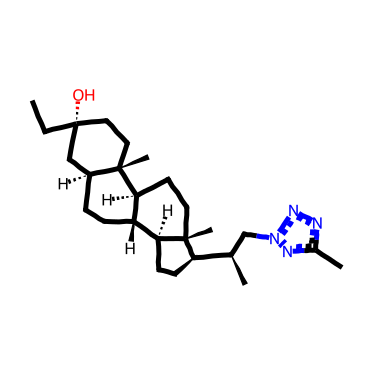 CC[C@@]1(O)CC[C@@]2(C)[C@@H](CC[C@@H]3[C@@H]2CC[C@]2(C)[C@@H]([C@H](C)Cn4nnc(C)n4)CC[C@@H]32)C1